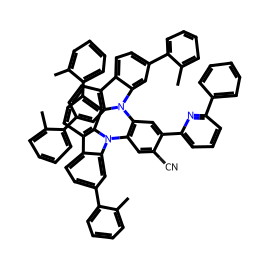 Cc1ccccc1-c1ccc2c3ccc(-c4ccccc4C)cc3n(-c3cc(C#N)c(-c4cccc(-c5ccccc5)n4)cc3-n3c4cc(-c5ccccc5C)ccc4c4ccc(-c5ccccc5C)cc43)c2c1